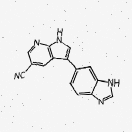 N#Cc1cnc2[nH]cc(-c3ccc4nc[nH]c4c3)c2c1